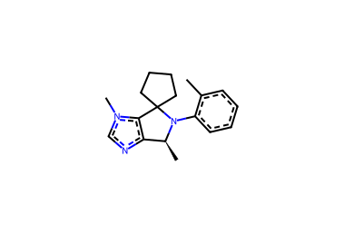 Cc1ccccc1N1[C@@H](C)c2ncn(C)c2C12CCCC2